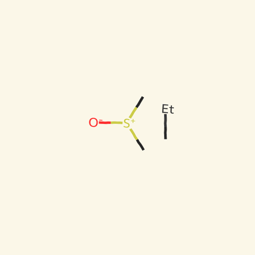 CCC.C[S+](C)[O-]